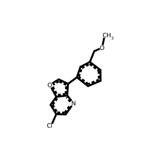 COCc1cccc(-c2coc3cc(Cl)cnc23)c1